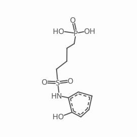 O=P(O)(O)CCCCS(=O)(=O)Nc1ccccc1O